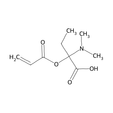 C=CC(=O)OC(CC)(C(=O)O)N(C)C